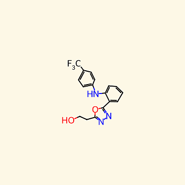 OCCc1nnc(-c2ccccc2Nc2ccc(C(F)(F)F)cc2)o1